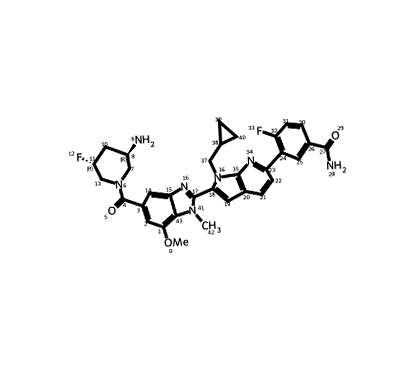 COc1cc(C(=O)N2C[C@H](N)C[C@@H](F)C2)cc2nc(-c3cc4ccc(-c5cc(C(N)=O)ccc5F)nc4n3CC3CC3)n(C)c12